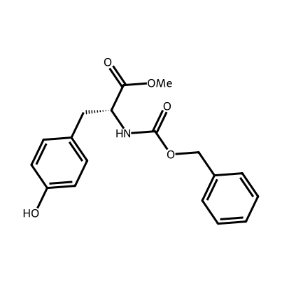 COC(=O)[C@@H](Cc1ccc(O)cc1)NC(=O)OCc1ccccc1